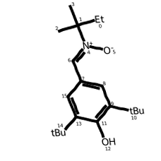 CCC(C)(C)[N+]([O-])=Cc1cc(C(C)(C)C)c(O)c(C(C)(C)C)c1